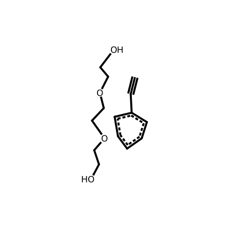 C#Cc1ccccc1.OCCOCCOCCO